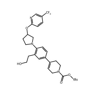 CC(C)(C)OC(=O)N1CC=C(c2ccc(N3CCC(Oc4ccc(C(F)(F)F)cn4)C3)c(CCO)c2)CC1